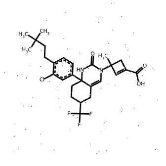 CC(C)(C)CCc1ccc(C23CCC(C(F)(F)F)CC2=CN(C2(C)C=C(C(=O)O)C2)C(=O)N3)cc1Cl